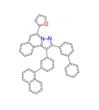 c1ccc(-c2cccc(-c3nn4c(-c5ccco5)cc5ccccc5c4c3-c3cccc(-c4cccc5ccccc45)c3)c2)cc1